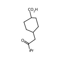 CC(C)C(=O)CC1CCC(C(=O)O)CC1